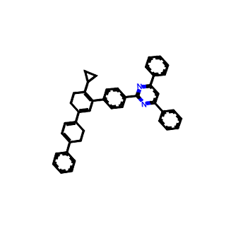 C1=C(C2=CC(c3ccc(-c4nc(-c5ccccc5)cc(-c5ccccc5)n4)cc3)=C(C3CC3)CC2)CCC(c2ccccc2)=C1